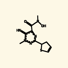 CN(O)C(=O)c1nc(C2CC=CS2)nn(C)c1=N